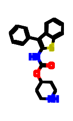 O=C(Nc1sc2ccccc2c1-c1ccccc1)OC1CCNCC1